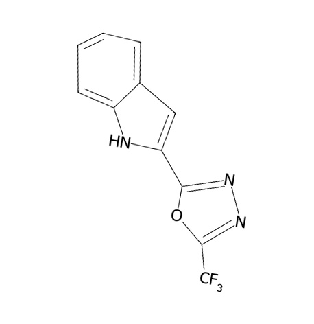 FC(F)(F)c1nnc(-c2cc3ccccc3[nH]2)o1